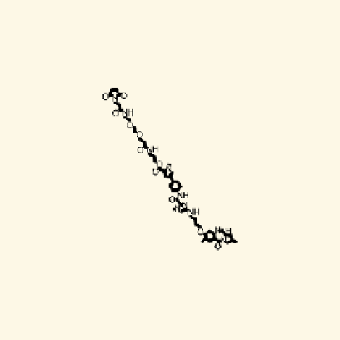 C=C1C[C@H]2C=Nc3cc(OCCCCNc4cn(C)c(C(=O)Nc5ccc(-c6cc(C(=O)OCCCNC(=O)CCOCCOCCNC(=O)CCN7C(=O)C=CC7=O)n(C)c6)cc5)n4)c(C)cc3C(=O)N2C1